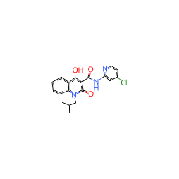 CC(C)Cn1c(=O)c(C(=O)Nc2cc(Cl)ccn2)c(O)c2ccccc21